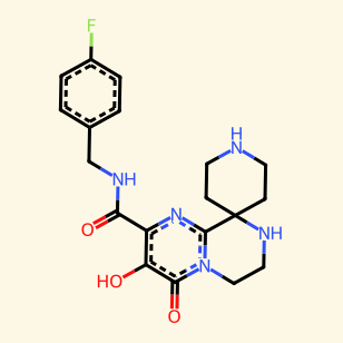 O=C(NCc1ccc(F)cc1)c1nc2n(c(=O)c1O)CCNC21CCNCC1